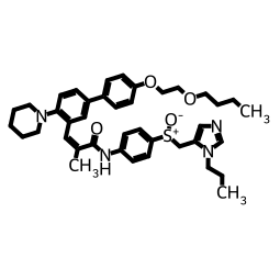 CCCCOCCOc1ccc(-c2ccc(N3CCCCC3)c(C=C(C)C(=O)Nc3ccc([S+]([O-])Cc4cncn4CCC)cc3)c2)cc1